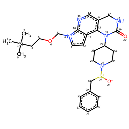 C[Si](C)(C)CCOCn1ccc2c3c(cnc21)CNC(=O)N3C1CCN([S+]([O-])Cc2ccccc2)CC1